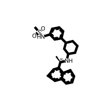 C[C@@H](NC1CCCC(c2cccc(NS(C)(=O)=O)c2)C1)c1cccc2ccccc12